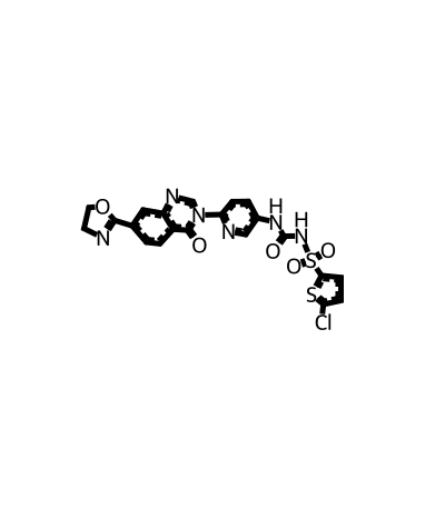 O=C(Nc1ccc(-n2cnc3cc(C4=NCCO4)ccc3c2=O)nc1)NS(=O)(=O)c1ccc(Cl)s1